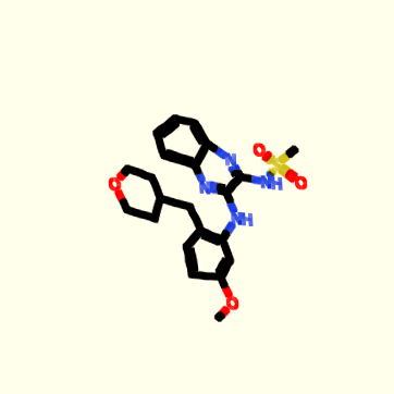 COc1ccc(CC2CCOCC2)c(Nc2nc3ccccc3nc2NS(C)(=O)=O)c1